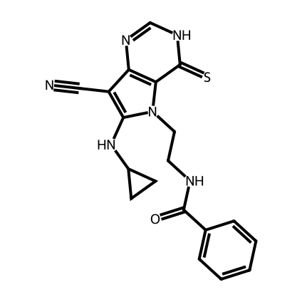 N#Cc1c(NC2CC2)n(CCNC(=O)c2ccccc2)c2c(=S)[nH]cnc12